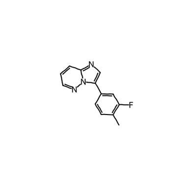 Cc1ccc(-c2cnc3cccnn23)cc1F